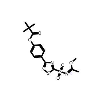 CO/C(C)=N\S(=O)(=O)c1nc(-c2ccc(OC(=O)C(C)(C)C)cc2)ns1